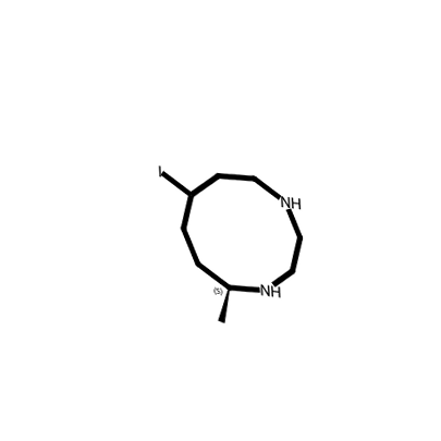 C[C@H]1CCC(I)CCNCCN1